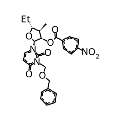 CC[C@H]1O[C@H](n2ccc(=O)n(COCc3ccccc3)c2=O)[C@H](OC(=O)c2ccc([N+](=O)[O-])cc2)[C@@H]1C